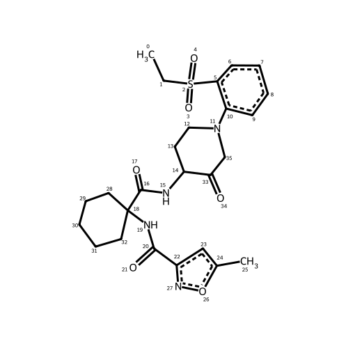 CCS(=O)(=O)c1ccccc1N1CCC(NC(=O)C2(NC(=O)c3cc(C)on3)CCCCC2)C(=O)C1